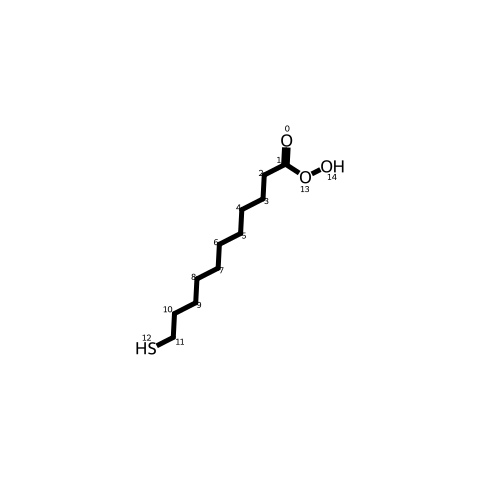 O=C(CCCCCCCCCCS)OO